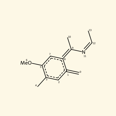 C=c1cc(C)c(OC)c/c1=C(C)/N=C\C